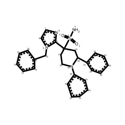 NS(=O)(=O)C1(c2nccn2Cc2ccccc2)CCN(c2ccccc2)C(c2ccccc2)C1